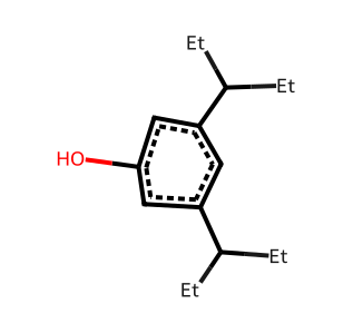 CCC(CC)c1cc(O)cc(C(CC)CC)c1